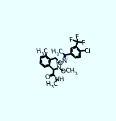 CNC(=O)C(NOC)c1cccc(C)c1CO/N=C(\C)c1ccc(Cl)c(C(F)(F)F)c1